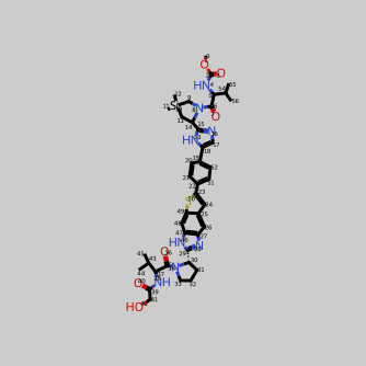 COC(=O)NC(C(=O)N1C[Si](C)(C)CC1c1ncc(-c2ccc(-c3cc4cc5nc([C@@H]6CCCN6C(=O)C(NC(=O)CO)C(C)C)[nH]c5cc4s3)cc2)[nH]1)C(C)C